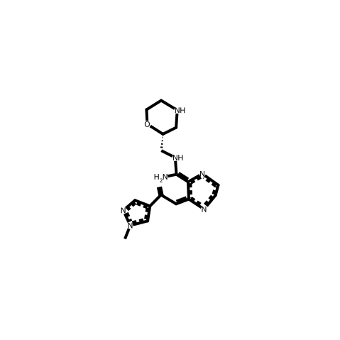 C=C(/C=c1/nccn/c1=C(/N)NC[C@H]1CNCCO1)c1cnn(C)c1